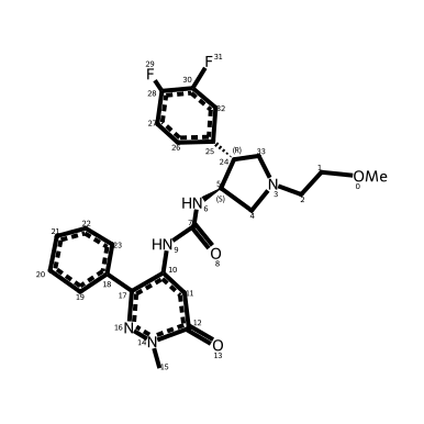 COCCN1C[C@@H](NC(=O)Nc2cc(=O)n(C)nc2-c2ccccc2)[C@H](c2ccc(F)c(F)c2)C1